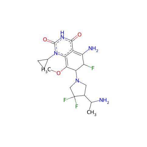 COC1=c2c(c(=O)[nH]c(=O)n2C2CC2)=C(N)C(F)C1N1CC(C(C)N)C(F)(F)C1